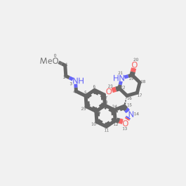 COCCNCc1ccc2c(ccc3onc([C@H]4CCC(=O)NC4=O)c32)c1